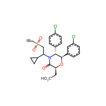 CC(C)(C)S(=O)(=O)CC(C1CC1)N1C(=O)[C@H](CC(=O)O)O[C@H](c2cccc(Cl)c2)[C@H]1c1ccc(Cl)cc1